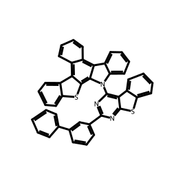 c1ccc(-c2cccc(-c3nc(-n4c5ccccc5c5c6ccccc6c6c7ccccc7sc6c54)c4c(n3)sc3ccccc34)c2)cc1